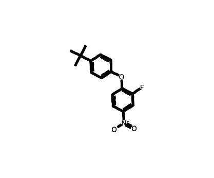 CC(C)(C)c1ccc(Oc2ccc([N+](=O)[O-])cc2F)cc1